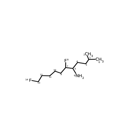 CC(C)CCC(N)C(F)CCCCCF